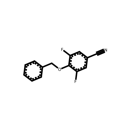 N#Cc1cc(F)c(OCc2ccccc2)c(F)c1